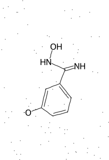 N=C(NO)c1cccc([O])c1